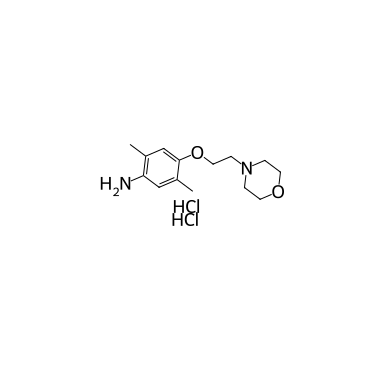 Cc1cc(OCCN2CCOCC2)c(C)cc1N.Cl.Cl